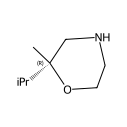 CC(C)[C@]1(C)CNCCO1